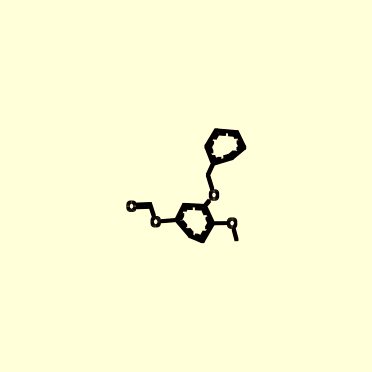 COc1ccc(OC=O)cc1OCc1ccccc1